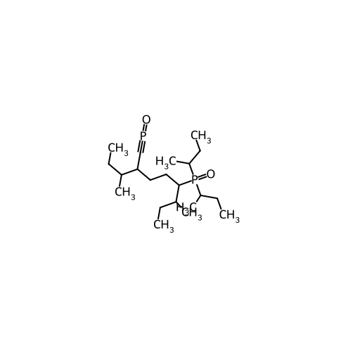 CCC(C)C(C#P=O)CCC(C(C)CC)P(=O)(C(C)CC)C(C)CC